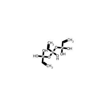 C=C[Si](O)(O)O[Si](O)(C=C)O[Si](O)(O)C=C